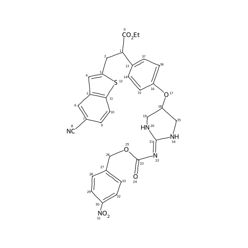 CCOC(=O)C(Cc1cc2cc(C#N)ccc2s1)c1ccc(OC2CNC(=NC(=O)OCc3ccc([N+](=O)[O-])cc3)NC2)cc1